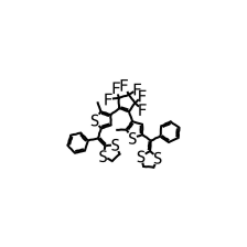 Cc1sc(C(=C2SCCS2)c2ccccc2)cc1C1=C(c2cc(C(=C3SCCS3)c3ccccc3)sc2C)C(F)(F)C(F)(F)C1(F)F